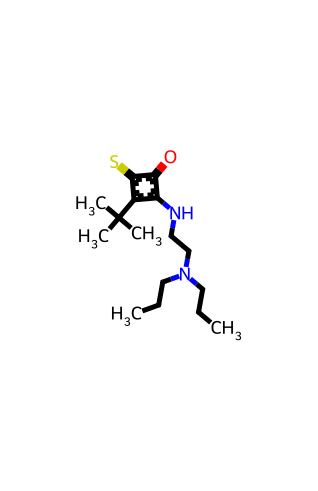 CCCN(CCC)CCNc1c(C(C)(C)C)c(=S)c1=O